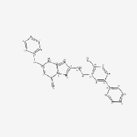 O=c1cc(Cc2ccccc2)[nH]c2nc(NCc3cc(-c4ccncc4)ccc3Cl)nn12